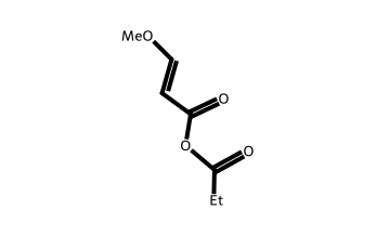 CCC(=O)OC(=O)C=COC